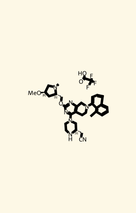 CO[C@@H]1C[C@@H](COc2nc3c(c(N4CCN[C@@H](CC#N)C4)n2)CCN(c2cccc4cccc(C)c24)C3)N(C)C1.O=C(O)C(F)(F)F